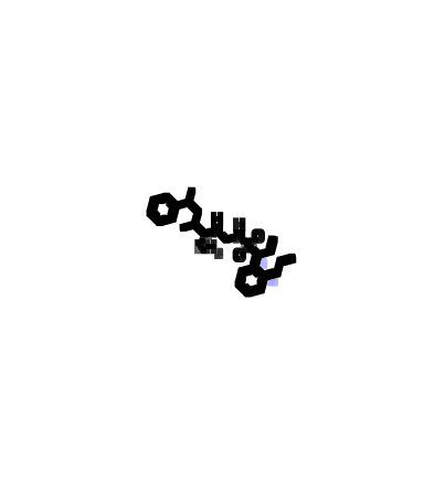 C=C/C=c1/cccc/c1=C(/C=C)S(=O)(=O)NCN[C@H](N)C(C)CC(C)c1ccccc1